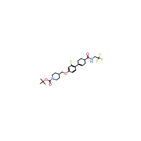 CC(C)(C)OC(=O)N1CCC(COc2ccc(C3=CCC(C(=O)NCC(F)(F)F)CC3)c(F)c2)CC1